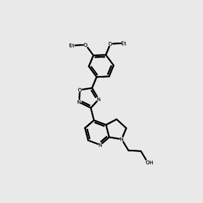 CCOc1ccc(-c2nc(-c3ccnc4c3CCN4CCO)no2)cc1OCC